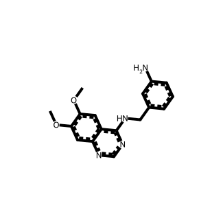 COc1cc2ncnc(NCc3cccc(N)c3)c2cc1OC